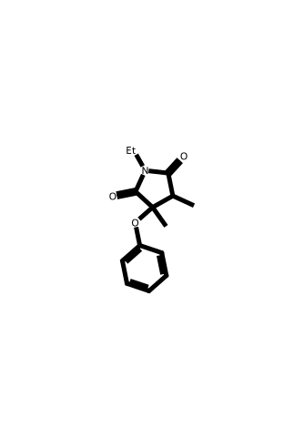 CCN1C(=O)C(C)C(C)(Oc2ccccc2)C1=O